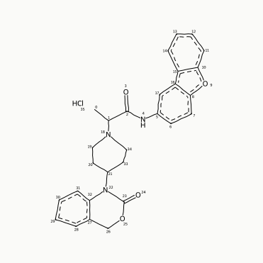 CC(C(=O)Nc1ccc2oc3ccccc3c2c1)N1CCC(N2C(=O)OCc3ccccc32)CC1.Cl